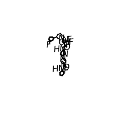 O=C(Nc1ccc(N2CCN(C(=O)Nc3ccccc3F)CC2)nc1)c1oc(N2CCCC(c3cccc(F)c3)C2)nc1C(F)(F)F